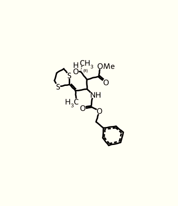 COC(=O)C(C(NC(=O)OCc1ccccc1)C(C)=C1SCCCS1)[C@@H](C)O